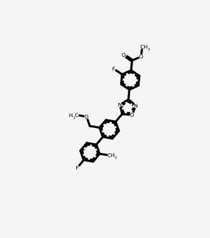 COCc1cc(-c2nc(-c3ccc(C(=O)OC)c(F)c3)no2)ccc1-c1ccc(F)cc1C